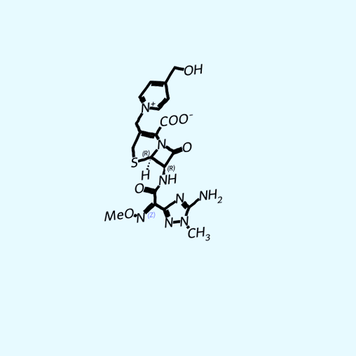 CO/N=C(\C(=O)N[C@@H]1C(=O)N2C(C(=O)[O-])=C(C[n+]3ccc(CO)cc3)CS[C@H]12)c1nc(N)n(C)n1